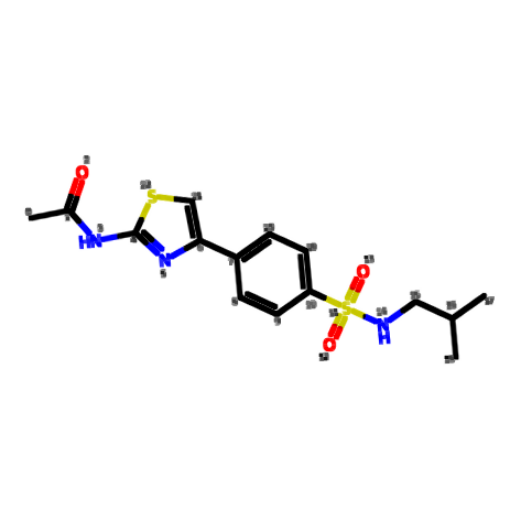 CC(=O)Nc1nc(-c2ccc(S(=O)(=O)NCC(C)C)cc2)cs1